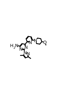 COC1CCN(c2cccc(-c3cc(N)nc(-n4nc(C)cc4C)n3)n2)CC1